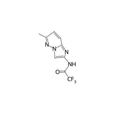 Cc1ccc2nc(NC(=O)C(F)(F)F)cn2n1